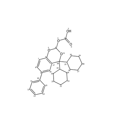 O=C(O)OC1Oc2ccc(-c3ccccc3)cc2C(C2CCCCC2)(C2CCCCC2)O1